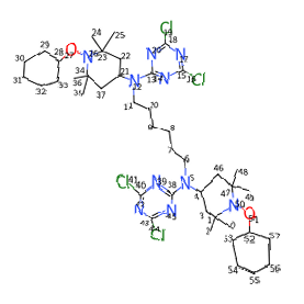 CC1(C)CC(N(CCCCCCN(c2nc(Cl)nc(Cl)n2)C2CC(C)(C)N(OC3CCCCC3)C(C)(C)C2)c2nc(Cl)nc(Cl)n2)CC(C)(C)N1OC1CCCCC1